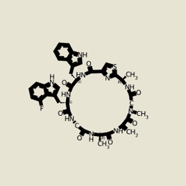 C=C1NC(=O)[C@@H](C)NC(=O)CNC(=O)[C@H](Cc2c[nH]c3cccc(F)c23)NC(=O)[C@H](Cc2c[nH]c3ccccc23)NC(=O)c2csc(n2)[C@@H](C)NC(=O)CN(C)C1=O